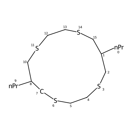 CCCC1CSCCSCC(CCC)CSCCSC1